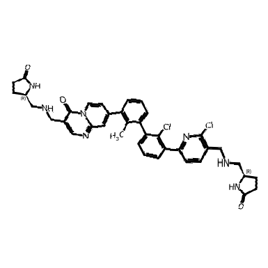 Cc1c(-c2ccn3c(=O)c(CNC[C@H]4CCC(=O)N4)cnc3c2)cccc1-c1cccc(-c2ccc(CNC[C@H]3CCC(=O)N3)c(Cl)n2)c1Cl